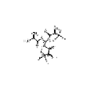 C=C(C)C(=O)OB(OC(=O)C(=C)C(F)(F)F)OC(=O)C(=C)C(F)(F)F